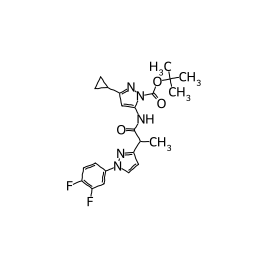 CC(C(=O)Nc1cc(C2CC2)nn1C(=O)OC(C)(C)C)c1ccn(-c2ccc(F)c(F)c2)n1